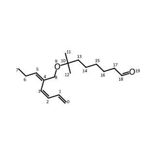 C=C/C=C\C(=C/CC)COC(C)(C)CCCCCC=O